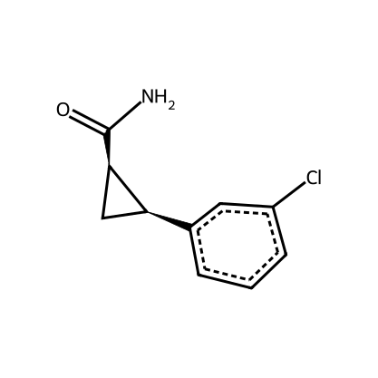 NC(=O)[C@@H]1C[C@@H]1c1cccc(Cl)c1